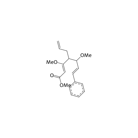 C=CCC(C(=CC(=O)OC)OC)C(C=Cc1ccccc1)OC